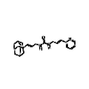 O=C(NCC=Cc1ccccn1)NCC=CC12CC3CC(CC(C3)C1)C2